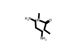 CCC(=O)NC.NCCCN